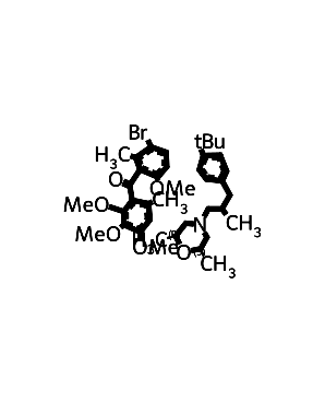 CC(Cc1ccc(C(C)(C)C)cc1)CN1C[C@@H](C)O[C@@H](C)C1.COc1cc(C)c(C(=O)c2c(OC)ccc(Br)c2C)c(OC)c1OC